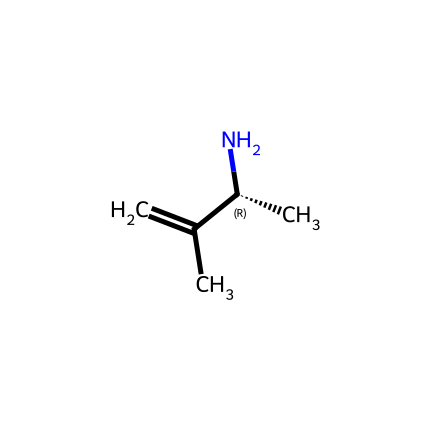 C=C(C)[C@@H](C)N